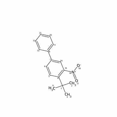 CC(C)(C)c1ccc(-c2cc[c]cc2)cc1[N+](=O)[O-]